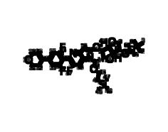 CC(C)(C)[Si](C)(C)O[C@@H]1CO[C@H]2[C@@H]1OC[C@H]2Oc1cc2nc(-c3c(F)cc(C4=CCOCC4)cc3F)c(F)cc2n1COCC[Si](C)(C)C